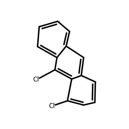 Clc1[c]ccc2cc3c[c]ccc3c(Cl)c12